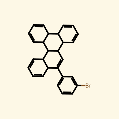 Brc1cccc(C2=CC3C4C=CC=CC4C4C=CC=CC4C3C3C=CC=CC23)c1